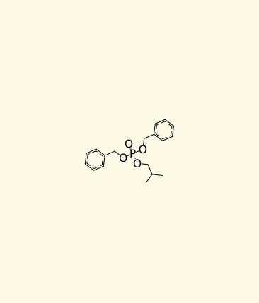 CC(C)COP(=O)(OCc1ccccc1)OCc1ccccc1